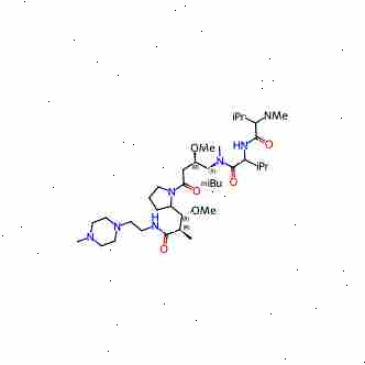 CC[C@H](C)[C@@H]([C@@H](CC(=O)N1CCCC1[C@H](OC)[C@@H](C)C(=O)NCCN1CCN(C)CC1)OC)N(C)C(=O)C(NC(=O)C(NC)C(C)C)C(C)C